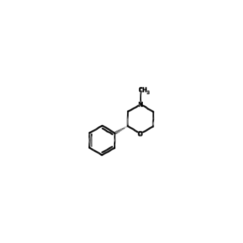 CN1CCO[C@H](c2ccccc2)C1